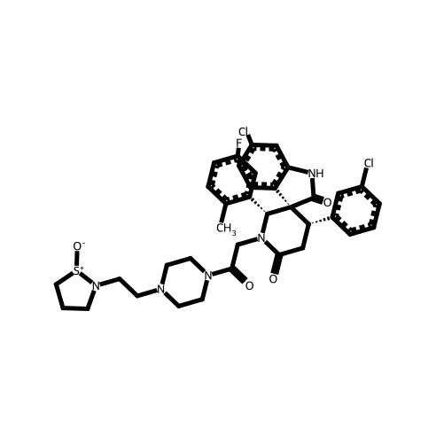 Cc1ccc(F)cc1[C@H]1N(CC(=O)N2CCN(CCN3CCC[S+]3[O-])CC2)C(=O)C[C@@H](c2cccc(Cl)c2)[C@]12C(=O)Nc1cc(Cl)ccc12